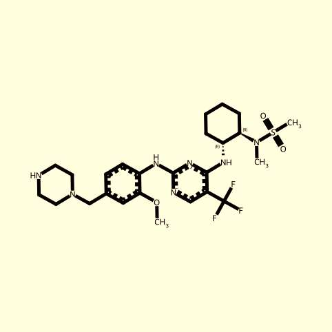 COc1cc(CN2CCNCC2)ccc1Nc1ncc(C(F)(F)F)c(N[C@@H]2CCCC[C@H]2N(C)S(C)(=O)=O)n1